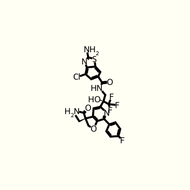 CC[C@]1(C(N)=O)COc2c1cc([C@@](O)(CNC(=O)c1cc(Cl)c3nc(N)sc3c1)C(F)(F)F)nc2-c1ccc(F)cc1